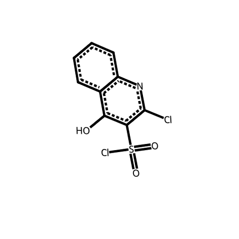 O=S(=O)(Cl)c1c(Cl)nc2ccccc2c1O